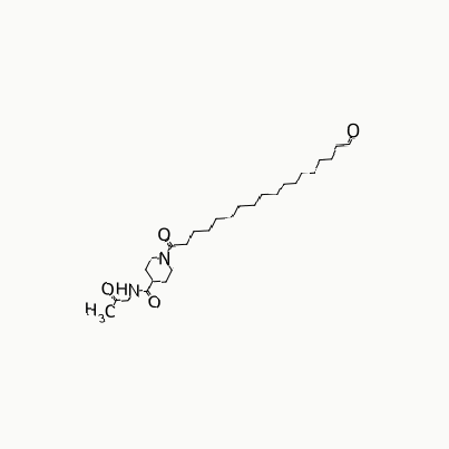 CC(=O)CNC(=O)C1CCN(C(=O)CCCCCCCCCCCCCCCCC=O)CC1